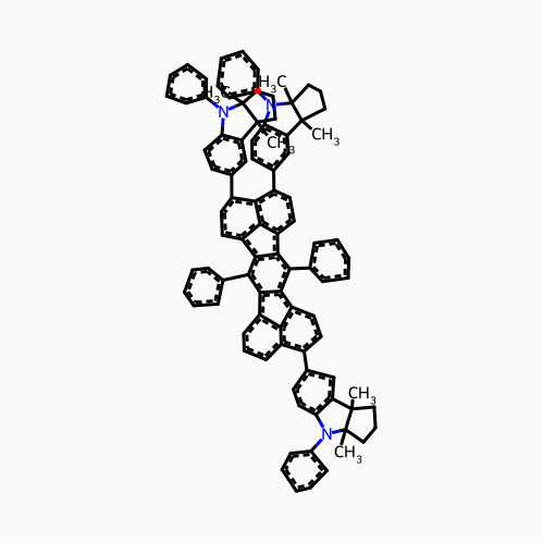 CC12CCCC1(C)N(c1ccccc1)c1ccc(-c3ccc4c5c(-c6ccccc6)c6c7ccc(-c8ccc9c(c8)C8(C)CCCC8(C)N9c8ccccc8)c8c(-c9ccc%10c(c9)C9(C)CCCC9(C)N%10c9ccccc9)ccc(c6c(-c6ccccc6)c5c5cccc3c54)c87)cc12